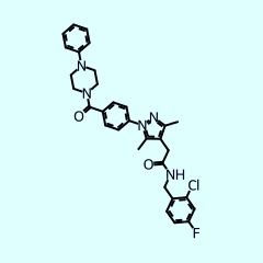 Cc1nn(-c2ccc(C(=O)N3CCN(c4ccccc4)CC3)cc2)c(C)c1CC(=O)NCc1ccc(F)cc1Cl